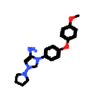 COc1ccc(Oc2ccc(N3CN(N4CCCC4)C=C3N)cc2)cc1